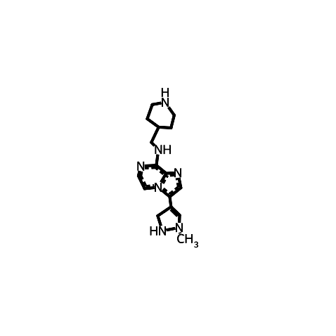 CN1C=C(c2cnc3c(NCC4CCNCC4)nccn23)CN1